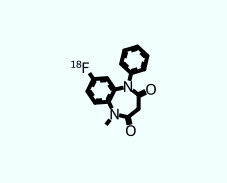 CN1C(=O)CC(=O)N(c2ccccc2)c2cc([18F])ccc21